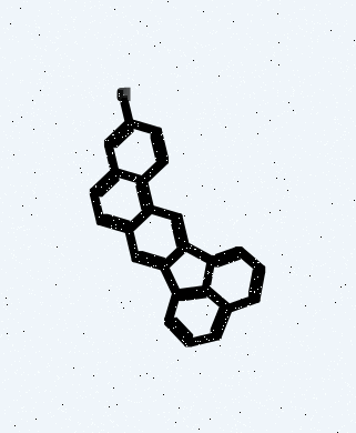 Clc1ccc2c(ccc3cc4c(cc32)-c2cccc3cccc-4c23)c1